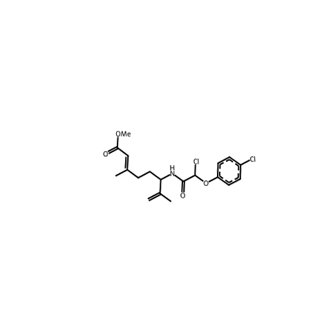 C=C(C)C(CCC(C)=CC(=O)OC)NC(=O)C(Cl)Oc1ccc(Cl)cc1